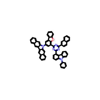 c1ccc(-n2c3ccccc3c3c(-c4nc(-c5ccc6ccccc6c5)nc(-c5cc(-n6c7cc8ccccc8cc7c7cc8ccccc8cc76)cc6c5oc5ccccc56)n4)cccc32)cc1